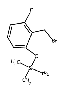 CC(C)(C)[Si](C)(C)Oc1cccc(F)c1CBr